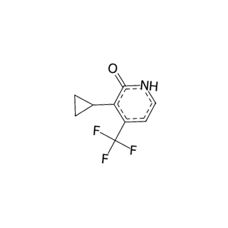 O=c1[nH]ccc(C(F)(F)F)c1C1CC1